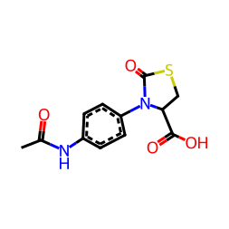 CC(=O)Nc1ccc(N2C(=O)SCC2C(=O)O)cc1